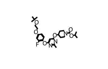 Cc1nc(Oc2ccc(OCCOC(C)(C)C)cc2F)cc(OC2CCN(C(=O)OC(C)C)CC2)n1